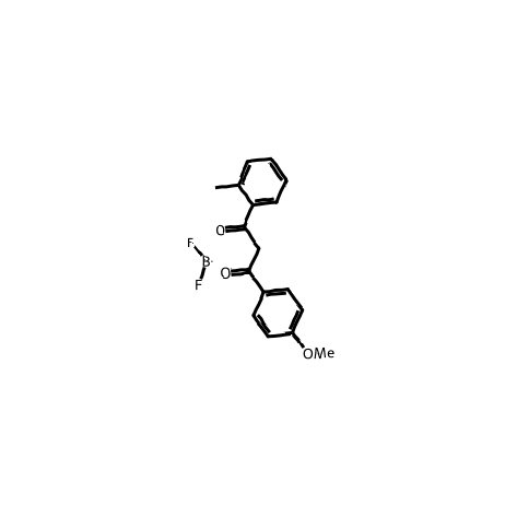 COc1ccc(C(=O)CC(=O)c2ccccc2C)cc1.F[B]F